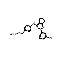 O=C(O)CCc1ccc(Nc2nc(-c3cccc(Cl)c3)nc3c2CCC3)cc1